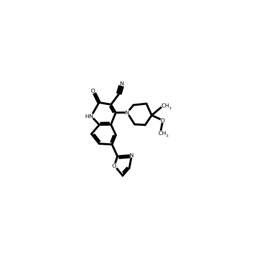 COC1(C)CCN(c2c(C#N)c(=O)[nH]c3ccc(-c4ncco4)cc23)CC1